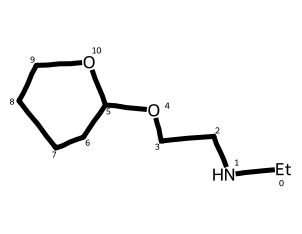 CCNCCOC1CCCCO1